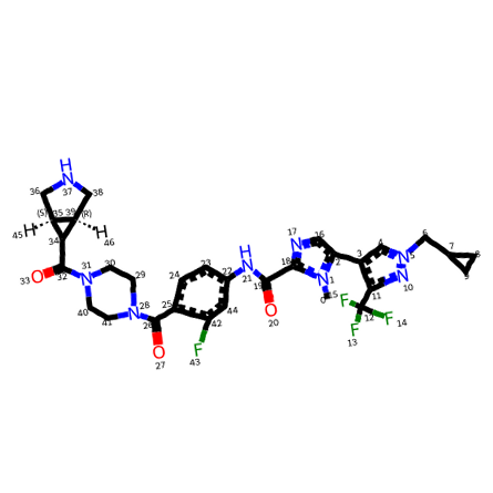 Cn1c(-c2cn(CC3CC3)nc2C(F)(F)F)cnc1C(=O)Nc1ccc(C(=O)N2CCN(C(=O)C3[C@H]4CNC[C@@H]34)CC2)c(F)c1